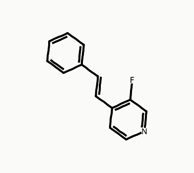 Fc1cnccc1C=Cc1ccccc1